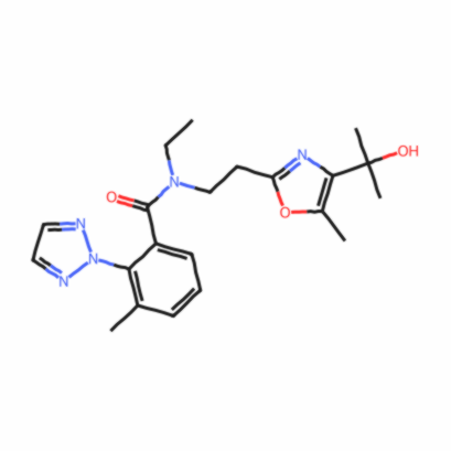 CCN(CCc1nc(C(C)(C)O)c(C)o1)C(=O)c1cccc(C)c1-n1nccn1